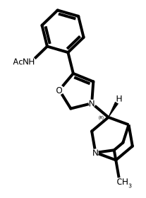 CC(=O)Nc1ccccc1C1=CN([C@H]2CN3CCC2CC3C)CO1